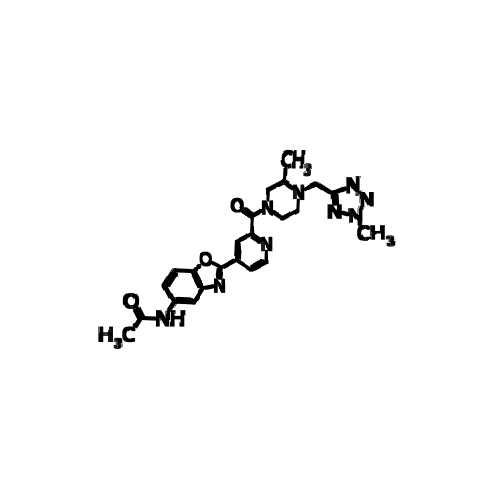 CC(=O)Nc1ccc2oc(-c3ccnc(C(=O)N4CCN(Cc5nnn(C)n5)C(C)C4)c3)nc2c1